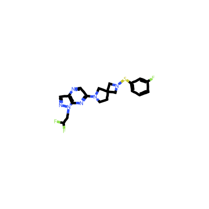 Fc1cccc(SN2CC3(CCN(c4cnc5cnn(CC(F)F)c5n4)C3)C2)c1